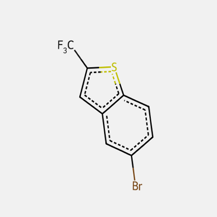 FC(F)(F)c1cc2cc(Br)ccc2s1